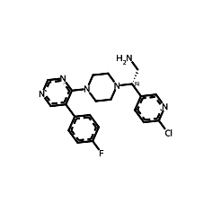 NC[C@H](c1ccc(Cl)nc1)N1CCN(c2ncncc2-c2ccc(F)cc2)CC1